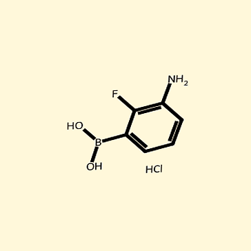 Cl.Nc1cccc(B(O)O)c1F